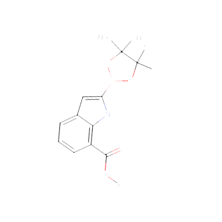 COC(=O)c1cccc2cc(B3OC(C)(C)C(C)(C)O3)[nH]c12